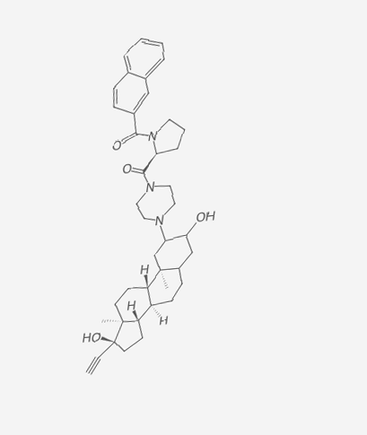 C#C[C@@]1(O)CC[C@H]2[C@@H]3CCC4CC(O)C(N5CCN(C(=O)[C@@H]6CCCN6C(=O)c6ccc7ccccc7c6)CC5)C[C@]4(C)[C@H]3CC[C@@]21C